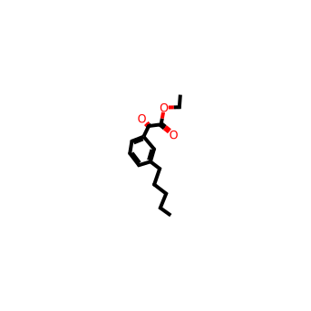 CCCCCc1cccc(C(=O)C(=O)OCC)c1